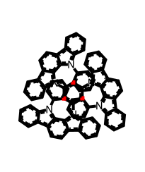 c1ccc(-n2c3ccccc3c3ccc4c5ccccc5n(-c5cc(-n6c7ccccc7c7ccc8c9ccccc9n(-c9ccccc9)c8c76)cc(-n6c7ccccc7c7ccc8c9ccccc9n(-c9ccccc9)c8c76)c5)c4c32)cc1